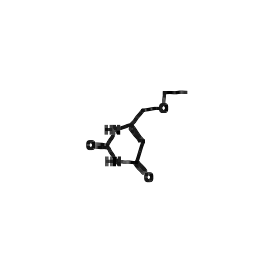 CCOCc1cc(=O)[nH]c(=O)[nH]1